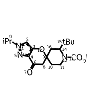 CC(C)n1cc2c(n1)C(=O)CC1(CCN(C(=O)O)C(C(C)(C)C)C1)O2